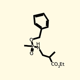 CCOC(=O)C(C)CNP(C)(=O)OCc1ccccc1